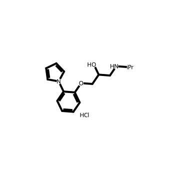 CC(C)NCC(O)COc1ccccc1-n1cccc1.Cl